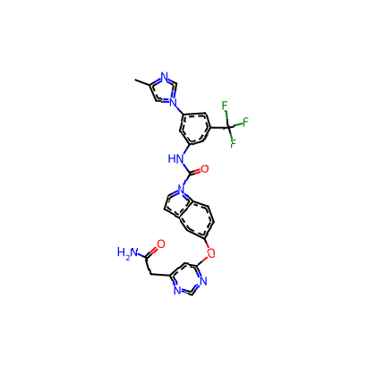 Cc1cn(-c2cc(NC(=O)n3ccc4cc(Oc5cc(CC(N)=O)ncn5)ccc43)cc(C(F)(F)F)c2)cn1